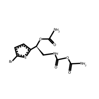 NC(=O)OC(=O)NC[C@H](OC(N)=O)c1ccc(Br)s1